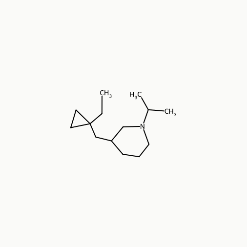 CCC1(CC2CCCN(C(C)C)C2)CC1